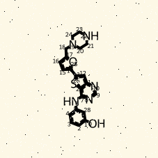 Oc1cccc(Nc2ncnc3cc(-c4ccc(CN5CCNCC5)o4)sc23)c1